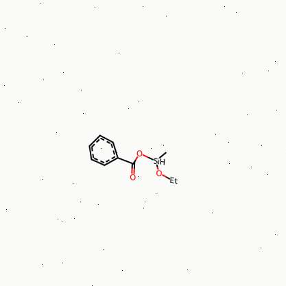 CCO[SiH](C)OC(=O)c1ccccc1